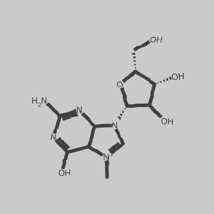 C[N+]1=CN([C@@H]2O[C@H](CO)[C@H](O)C2O)C2N=C(N)N=C(O)C21